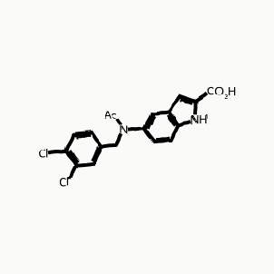 CC(=O)N(Cc1ccc(Cl)c(Cl)c1)c1ccc2[nH]c(C(=O)O)cc2c1